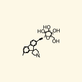 Cc1ccc2c(c1)C1(CCN(C)CC1)c1cc(C#C[C@H]3O[C@H](CO)[C@@H](O)[C@H](O)[C@@H]3O)ccc1-2